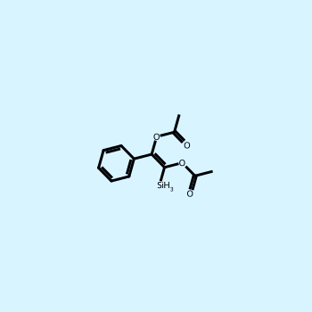 CC(=O)OC([SiH3])=C(OC(C)=O)c1ccccc1